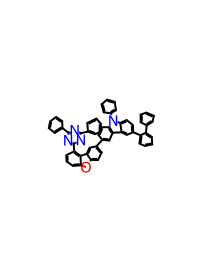 c1ccc(-c2nc(-c3ccccc3)nc(-c3cccc4oc5ccc(-c6ccc7c(c6)c6cc(-c8ccccc8-c8ccccc8)ccc6n7-c6ccccc6)cc5c34)n2)cc1